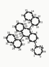 c1cnc(-c2ccc3c(-c4cccc5ccccc45)c4ccccc4c(-c4cccc5ccccc45)c3c2)nc1